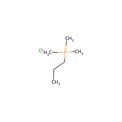 CCC[P+](C)(C)C.[Cl-]